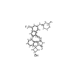 C[C@H]1CCCN(Cc2cc(C(F)(F)F)c3cn(-c4cccc([C@]5(C6NNCN6C)C[C@@H](O)C5)c4)c(=O)n3c2)C1